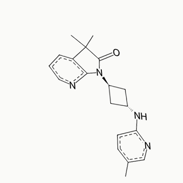 Cc1ccc(N[C@H]2C[C@H](N3C(=O)C(C)(C)c4cccnc43)C2)nc1